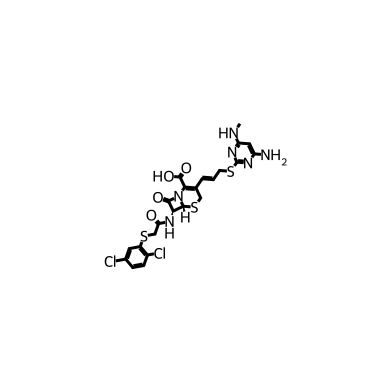 CNc1cc(N)nc(SCC=CC2=C(C(=O)O)N3C(=O)[C@@H](NC(=O)CSc4cc(Cl)ccc4Cl)[C@H]3SC2)n1